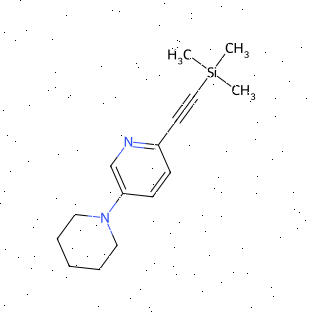 C[Si](C)(C)C#Cc1ccc(N2CCCCC2)cn1